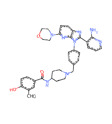 Nc1ncccc1-c1nc2ccc(N3CCOCC3)nc2n1-c1ccc(CN2CCC(NC(=O)c3ccc(O)c(C=O)c3)CC2)cc1